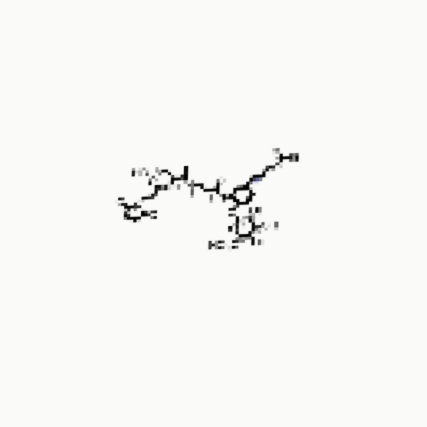 CCC(=O)OC/C=C/c1ccc(O[C@@H]2O[C@H](C(=O)O)[C@@H](O)[C@H](O)[C@H]2O)c(NC(=O)CCNC(=O)[C@H](CS(=O)(=O)O)NC(=O)CCN2C(=O)C=CC2=O)c1